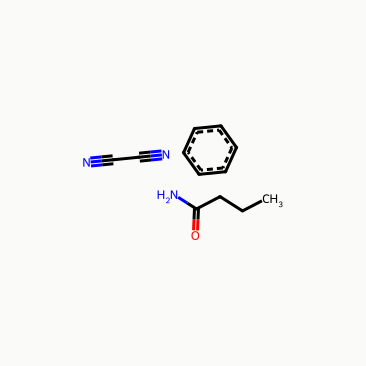 CCCC(N)=O.N#CC#N.c1ccccc1